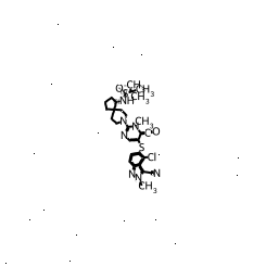 CN1C(=C=O)C(Sc2ccc3nn(C)c(C#N)c3c2Cl)=CN=C1N1CCC2(CCC[C@H]2N[S@+]([O-])C(C)(C)C)CC1